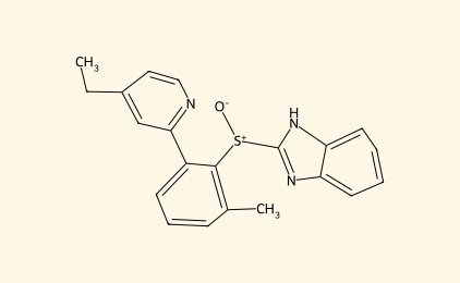 CCc1ccnc(-c2cccc(C)c2[S+]([O-])c2nc3ccccc3[nH]2)c1